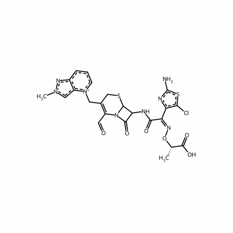 C[C@H](O/N=C(\C(=O)NC1C(=O)N2C(C=O)=C(C[n+]3cccc4nn(C)cc43)CSC12)c1nc(N)sc1Cl)C(=O)O